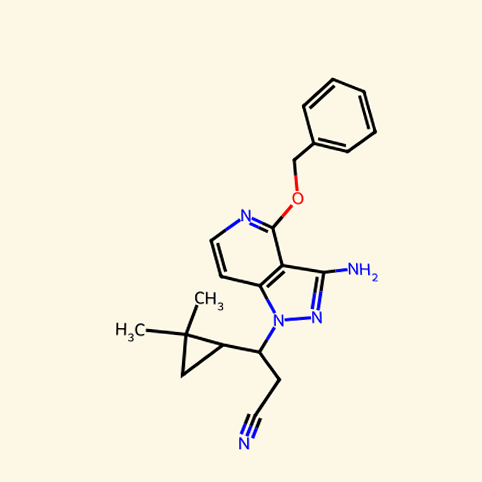 CC1(C)CC1C(CC#N)n1nc(N)c2c(OCc3ccccc3)nccc21